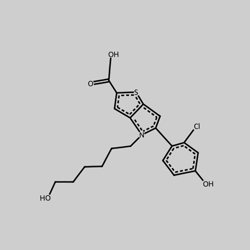 O=C(O)c1cc2c(cc(-c3ccc(O)cc3Cl)n2CCCCCCO)s1